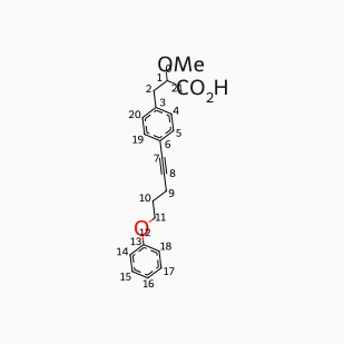 COC(Cc1ccc(C#CCCCOc2ccccc2)cc1)C(=O)O